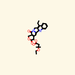 CCOC(C)(C)CC(=O)O[C@@H]1C(=O)OCc2c1cc1n(c2=O)Cc2c-1nc1ccccc1c2CC